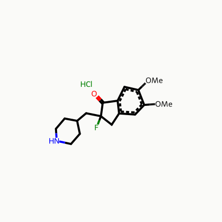 COc1cc2c(cc1OC)C(=O)C(F)(CC1CCNCC1)C2.Cl